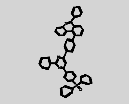 O=P(c1ccccc1)(c1ccccc1)c1ccc(-c2cc(-c3ccc(-c4cccc5c(-c6ccccc6)nc6ccccc6c45)cc3)nc(-c3ccccc3)n2)cc1